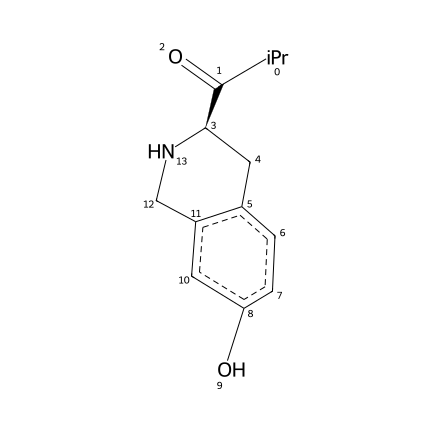 CC(C)C(=O)[C@H]1Cc2ccc(O)cc2CN1